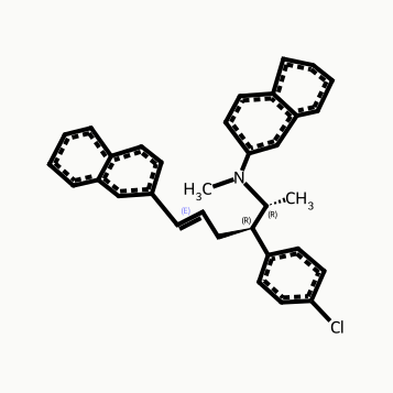 C[C@H]([C@H](C/C=C/c1ccc2ccccc2c1)c1ccc(Cl)cc1)N(C)c1ccc2ccccc2c1